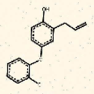 C=CCc1cc(Oc2ccccc2Cl)ccc1O